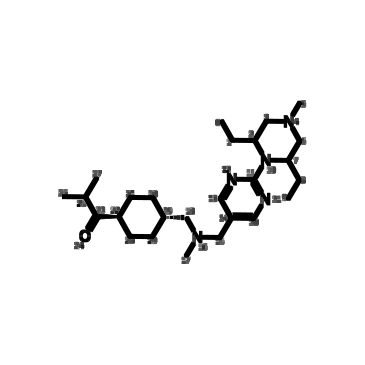 CCC1CN(C)CC(CC)N1c1ncc(CN(C)C[C@H]2CC[C@H](C(=O)C(C)C)CC2)cn1